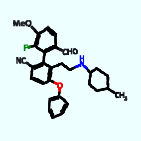 COc1ccc(C=O)c(-c2c(C#N)ccc(Oc3ccccc3)c2CCNC2CCC(C)CC2)c1F